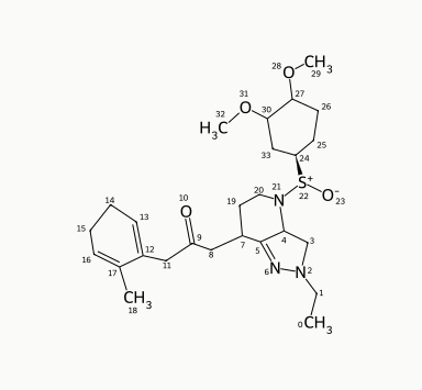 CCN1CC2C(=N1)C(CC(=O)CC1=CCCC=C1C)CCN2[S+]([O-])[C@@H]1CCC(OC)C(OC)C1